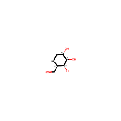 OC[C@H]1[Se]C[C@H](O)[C@@H](O)[C@@H]1O